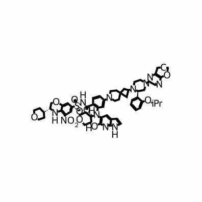 CC(C)Oc1ccccc1[C@@H]1CN(c2cnc3c(n2)CCCO3)CCN1C1CC2(CCN(c3ccc(C(=O)NS(=O)(=O)c4cc5c(c([N+](=O)[O-])c4)N[C@H](C4CCOCC4)CO5)c(N4c5cc6cc[nH]c6nc5O[C@H]5COCC[C@@H]54)c3)CC2)C1